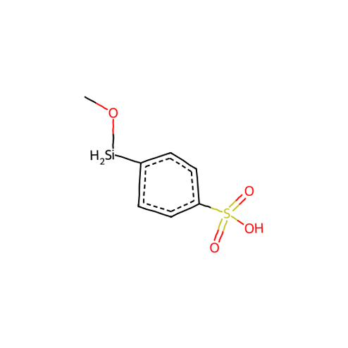 CO[SiH2]c1ccc(S(=O)(=O)O)cc1